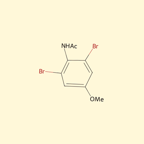 COc1cc(Br)c(NC(C)=O)c(Br)c1